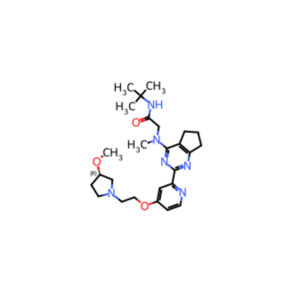 CO[C@@H]1CCN(CCOc2ccnc(-c3nc4c(c(N(C)CC(=O)NC(C)(C)C)n3)CCC4)c2)C1